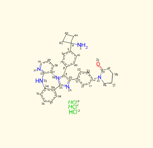 Cl.Cl.Cl.NC1(c2ccc(-c3c(-c4ccc(N5CCCCC5=O)cc4)nc4n3-c3cccnc3Nc3ccccc3-4)cc2)CCC1